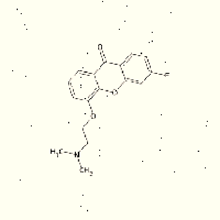 CN(C)CCOc1cccc2c(=O)c3ccc(F)cc3oc12